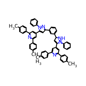 Cc1ccc(-c2cc(C3=CC(c4cccc(-c5cc(-c6cc(-c7ccc(C)cc7)nc(-c7ccc(C)cc7)c6)n(-c6ccccc6)n5)c4)NN3c3ccccc3)cc(-c3ccc(C)cc3)n2)cc1